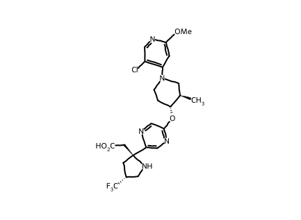 COc1cc(N2CC[C@@H](Oc3cnc([C@@]4(CC(=O)O)C[C@@H](C(F)(F)F)CN4)cn3)[C@H](C)C2)c(Cl)cn1